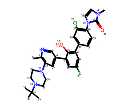 Cc1ncc(-c2cc(F)cc(-c3ccc(-n4ccn(C)c4=O)c(Cl)c3)c2O)cc1N1CCN(C(C)(C)C)CC1